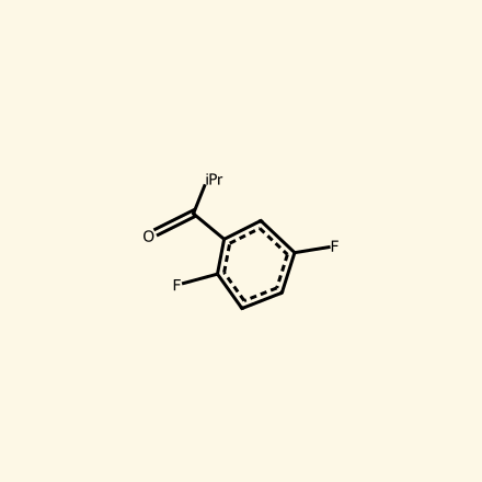 CC(C)C(=O)c1cc(F)ccc1F